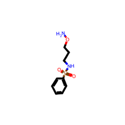 NOCCCNS(=O)(=O)c1ccccc1